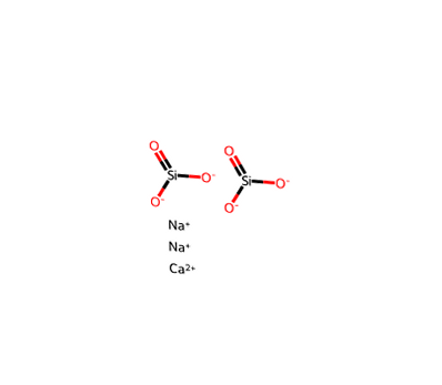 O=[Si]([O-])[O-].O=[Si]([O-])[O-].[Ca+2].[Na+].[Na+]